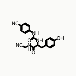 N#CCNC(=O)C(Cc1ccc(O)cc1)NC(=O)Nc1ccc(C#N)cc1